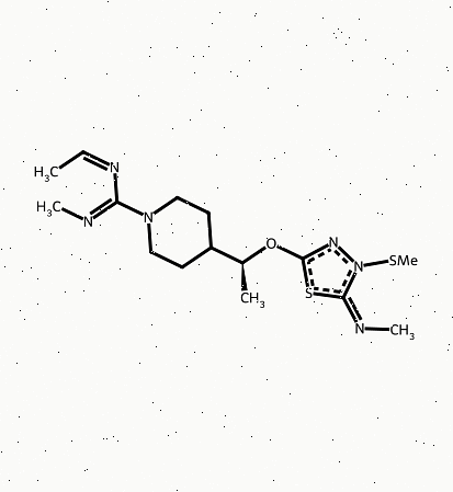 C/C=N\C(=N/C)N1CCC([C@H](C)Oc2nn(SC)/c(=N\C)s2)CC1